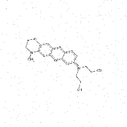 CN1CCOc2cc3nc4ccc(=[N+](CCO)CCO)cc-4oc3cc21